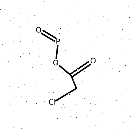 O=POC(=O)CCl